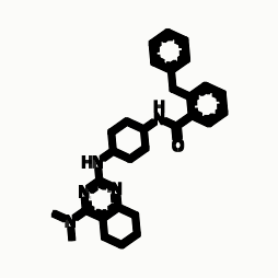 CN(C)c1nc(NC2CCC(NC(=O)c3ccccc3Cc3ccccc3)CC2)nc2c1CCCC2